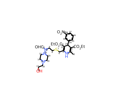 CCOC(=O)C1=C(C)NC(CSCCN(C=O)N2CCN(CCO)CC2)=C(C(=O)OCC)C1c1cccc([N+](=O)[O-])c1